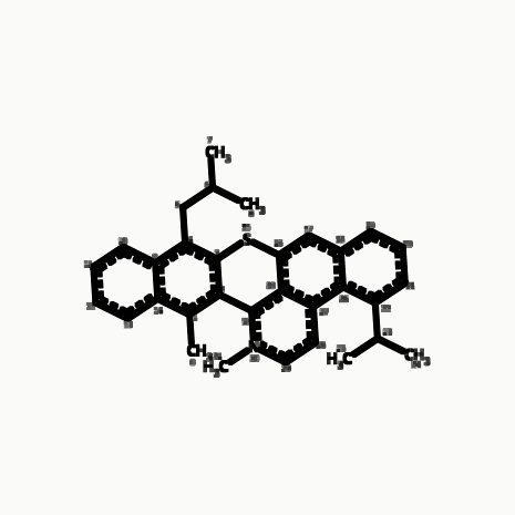 Cc1c2c(c(CC(C)C)c3ccccc13)Sc1cc3cccc(C(C)C)c3c3cc[n+](C)c-2c13